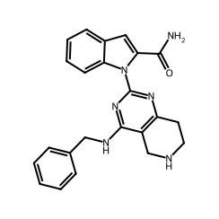 NC(=O)c1cc2ccccc2n1-c1nc2c(c(NCc3ccccc3)n1)CNCC2